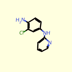 Nc1ccc(Nc2ccccn2)cc1Cl